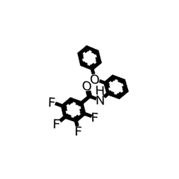 O=C(Nc1ccccc1Oc1ccccc1)c1cc(F)c(F)c(F)c1F